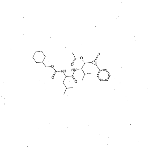 CC(=O)O[C@H](c1c(-c2ccccc2)c1=O)[C@@H](NC(=O)C(CC(C)C)NC(=O)OCC1CCCCC1)C(C)C